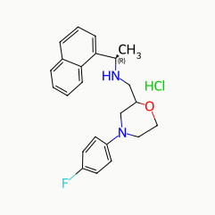 C[C@@H](NCC1CN(c2ccc(F)cc2)CCO1)c1cccc2ccccc12.Cl